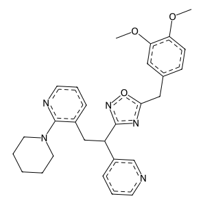 COc1ccc(Cc2nc(C(Cc3cccnc3N3CCCCC3)c3cccnc3)no2)cc1OC